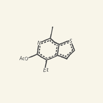 CCc1c(OC(C)=O)nc(C)c2sccc12